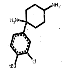 CC(C)(C)c1ccc(C2(N)CCC(N)CC2)cc1Cl